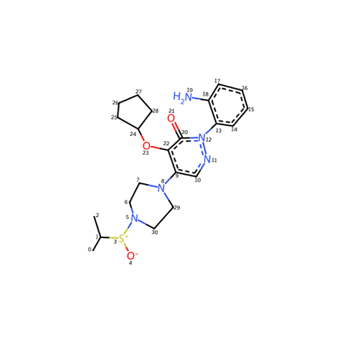 CC(C)[S+]([O-])N1CCN(c2cnn(-c3ccccc3N)c(=O)c2OC2CCCC2)CC1